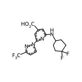 O=C(O)c1cc(NC2CCC(F)(F)CC2)nc(-n2ccc(C(F)(F)F)n2)c1